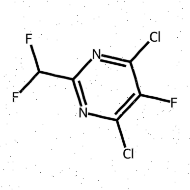 Fc1c(Cl)nc(C(F)F)nc1Cl